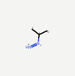 [CH2]C(C)N=N